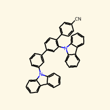 N#Cc1ccc(-c2ccc(-c3cccc(-n4c5ccccc5c5ccccc54)c3)cc2-n2c3ccccc3c3ccccc32)cc1